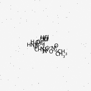 Cc1cc(Cl)cc(-c2ncnn3cc(CN4C(=O)C5C(C4=O)C5(C)C)cc23)c1CN1[C@@H](C)CNC[C@@H]1C.Cl.Cl